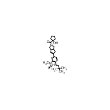 CN(N=O)c1nc(C2=CC3CN(C(=O)C4(O)CCCC4)CC3C2)ccc1NCC(C)(C)C